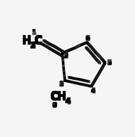 C.C=C1C=CC=C1